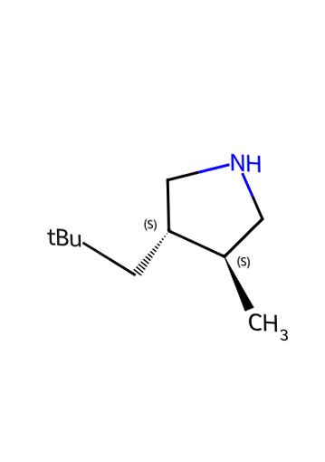 C[C@@H]1CNC[C@H]1CC(C)(C)C